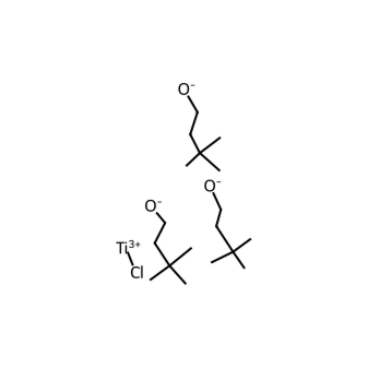 CC(C)(C)CC[O-].CC(C)(C)CC[O-].CC(C)(C)CC[O-].[Cl][Ti+3]